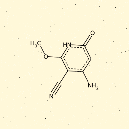 COc1[nH]c(=O)cc(N)c1C#N